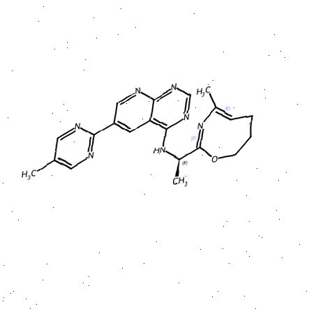 CC1=C\CCCO/C([C@@H](C)Nc2ncnc3ncc(-c4ncc(C)cn4)cc23)=N\1